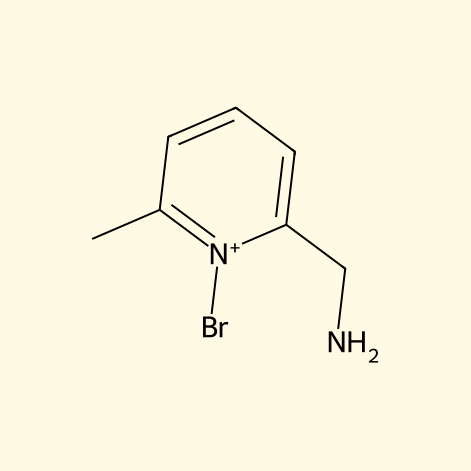 Cc1cccc(CN)[n+]1Br